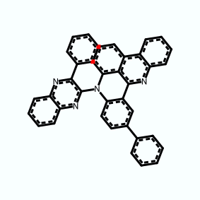 c1ccc(-c2ccc3c(c2)-c2nc4ccccc4c4cccc(c24)N3c2nc3ccccc3nc2-c2ccccc2)cc1